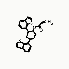 C=CC(=O)OC1CCC(c2cccc3ccsc23)CC1c1cccc2ccsc12